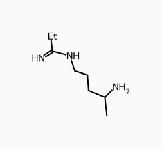 CCC(=N)NCCCC(C)N